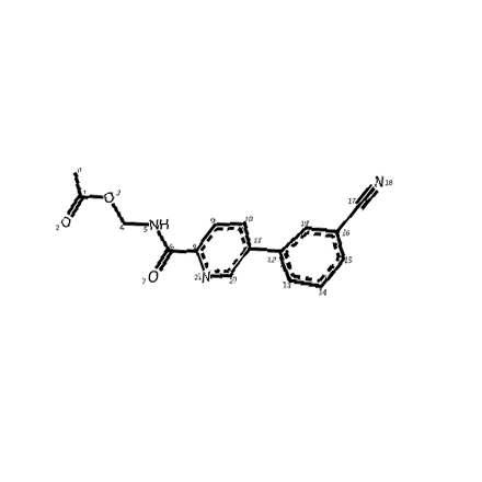 CC(=O)OCNC(=O)c1ccc(-c2cccc(C#N)c2)cn1